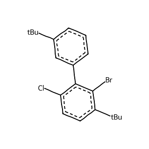 CC(C)(C)c1cccc(-c2c(Cl)ccc(C(C)(C)C)c2Br)c1